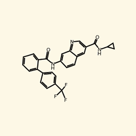 O=C(NC1CC1)c1cnc2cc(NC(=O)c3ccccc3-c3ccc(C(F)(F)F)cc3)ccc2c1